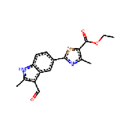 CCOC(=O)c1sc(-c2ccc3[nH]c(C)c(C=O)c3c2)nc1C